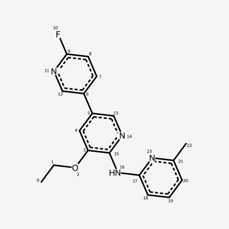 CCOc1cc(-c2ccc(F)nc2)cnc1Nc1cccc(C)n1